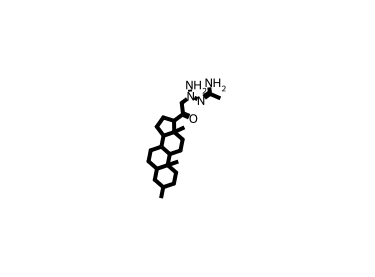 C/C(N)=N/N(N)CC(=O)C1CCC2C3CCC4CC(C)CCC4(C)C3CCC12C